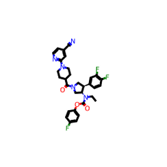 CCN(C(=O)Oc1ccc(F)cc1)[C@@H]1CN(C(=O)C2CCN(c3cc(C#N)ccn3)CC2)C[C@H]1c1ccc(F)c(F)c1